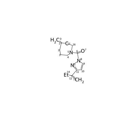 C=C1CCCN(C(=O)n2ccc(C(=C)CC)n2)CC1